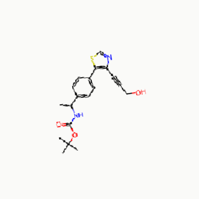 CC(NC(=O)OC(C)(C)C)c1ccc(-c2scnc2C#CCO)cc1